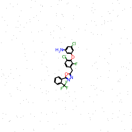 Nc1cc(Cl)cc(Oc2c(Cl)ccc(Cc3nnc(-c4ccccc4C(F)(F)F)o3)c2F)c1